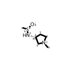 CN1CC[C@@H](N[S+](C)[O-])C1